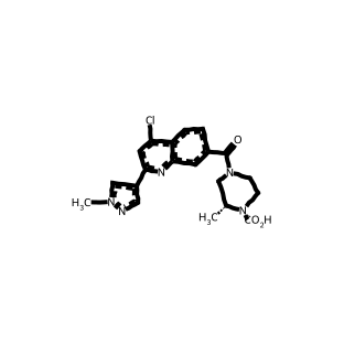 C[C@@H]1CN(C(=O)c2ccc3c(Cl)cc(-c4cnn(C)c4)nc3c2)CCN1C(=O)O